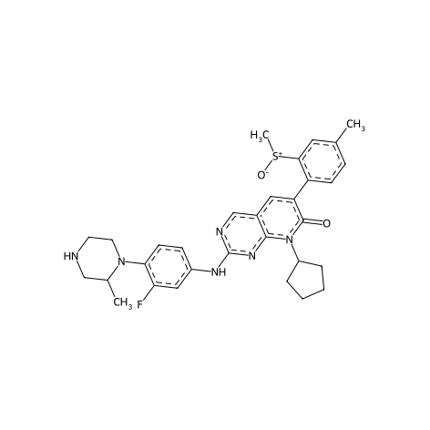 Cc1ccc(-c2cc3cnc(Nc4ccc(N5CCNCC5C)c(F)c4)nc3n(C3CCCC3)c2=O)c([S+](C)[O-])c1